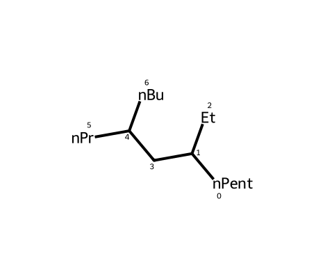 CCCCCC(CC)CC(CCC)CCCC